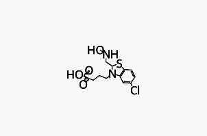 O=S(=O)(O)CCCN1c2cc(Cl)ccc2SC1CNO